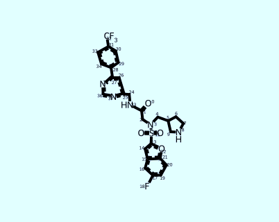 O=C(CN(CC1CCNC1)S(=O)(=O)c1cc2cc(F)ccc2o1)NCc1cc(-c2ccc(C(F)(F)F)cc2)ncn1